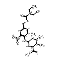 CCN(CCl)C(=O)OCc1ccc(OC2OC(C(C)=O)C(C)[C@H](C)[C@@H]2C)c([N+](=O)[O-])c1